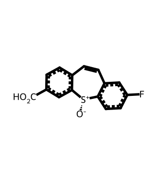 O=C(O)c1ccc2c(c1)[S@@+]([O-])c1ccc(F)cc1C=C2